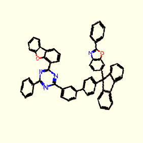 c1ccc(-c2nc(-c3cccc(-c4ccc(C5(c6ccc7nc(-c8ccccc8)oc7c6)c6ccccc6-c6ccccc65)cc4)c3)nc(-c3cccc4c3oc3ccccc34)n2)cc1